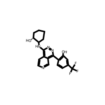 Oc1cc(C(F)(F)F)ccc1-c1nnc(NC2CCCC[C@H]2O)c2ccncc12